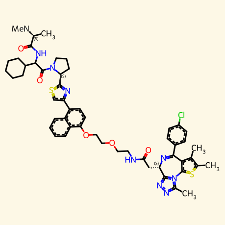 CN[C@@H](C)C(=O)NC(C(=O)N1CCC[C@H]1c1nc(-c2ccc(OCCOCCNC(=O)C[C@@H]3N=C(c4ccc(Cl)cc4)c4c(sc(C)c4C)-n4c(C)nnc43)c3ccccc23)cs1)C1CCCCC1